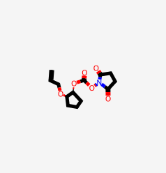 C=CCO[C@@H]1CCC[C@H]1OC(=O)ON1C(=O)CCC1=O